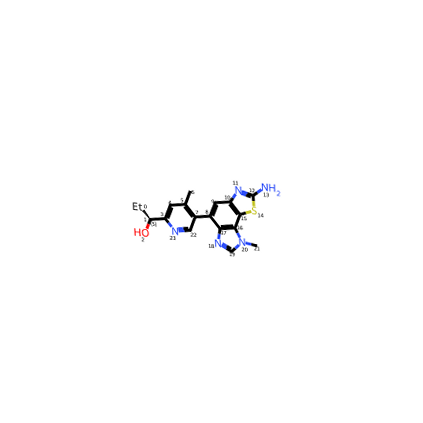 CC[C@H](O)c1cc(C)c(-c2cc3nc(N)sc3c3c2ncn3C)cn1